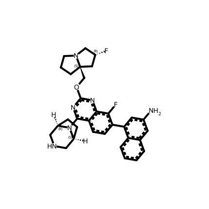 Nc1cc(-c2ccc3c(N4[C@@H]5CC[C@H]4CNC5)nc(OC[C@@]45CCCN4C[C@H](F)C5)nc3c2F)c2ccccc2c1